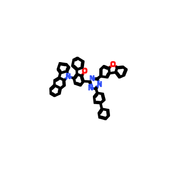 c1ccc(-c2ccc(-c3nc(-c4ccc5oc6ccccc6c5c4)nc(-c4ccc(-n5c6ccccc6c6cc7ccccc7cc65)c5c4oc4ccccc45)n3)cc2)cc1